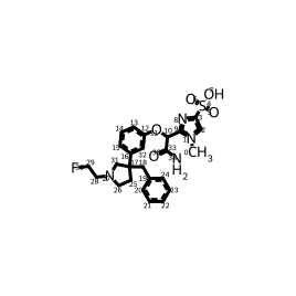 Cn1cc(S(=O)(=O)O)nc1C(Oc1cccc(C2(Cc3ccccc3)CCN(CCF)C2)c1)C(N)=O